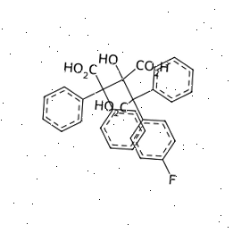 O=C(O)C(c1ccccc1)(c1ccccc1)C(O)(C(=O)O)C(C(=O)O)(c1ccccc1)c1ccc(F)cc1